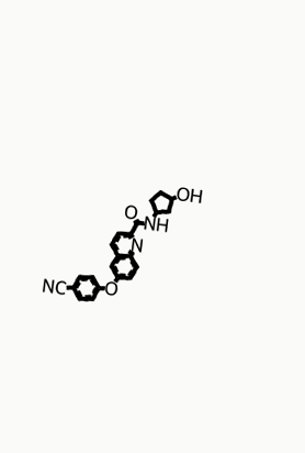 N#Cc1ccc(Oc2ccc3nc(C(=O)NC4CCC(O)C4)ccc3c2)cc1